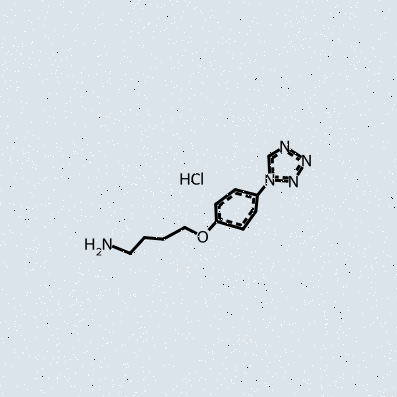 Cl.NCCCCOc1ccc(-n2cnnn2)cc1